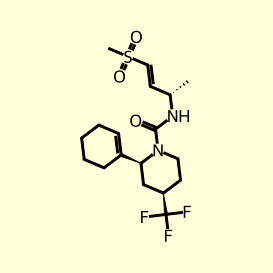 C[C@@H](/C=C/S(C)(=O)=O)NC(=O)N1CC[C@@H](C(F)(F)F)C[C@H]1C1=CCCCC1